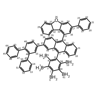 Bc1c(B)c(B)c(-c2c3ccccc3c(-c3cc(-c4ccccc4)cc4oc5ccccc5c34)c3ccc(-c4ccc(-c5ccccc5)c(-c5ccccc5)c4)cc23)c(B)c1B